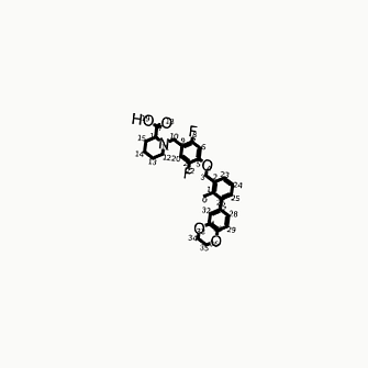 Cc1c(COc2cc(F)c(CN3CCCCC3C(=O)O)cc2F)cccc1-c1ccc2c(c1)OCCO2